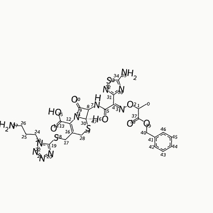 CC(O/N=C(/C(=O)NC1C(=O)N2C(C(=O)O)=C(CSc3nnnn3CCCN)CS[C@H]12)c1nsc(N)n1)C(=O)OCc1ccccc1